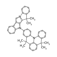 CC1(C)c2ccccc2N2c3ccc(-n4c5ccccc5c5cn6c(c54)C(C)(C)c4ccccc4-6)cc3C(C)(C)c3cccc1c32